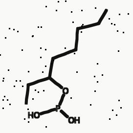 CCCCCC(CC)OP(O)O